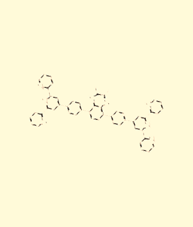 Cc1nc2c(-c3ccc(-c4cc(-c5ccccn5)nc(-c5ccccn5)c4)cc3)ccc(-c3ccc(-c4cc(-c5ccccn5)nc(-c5ccccn5)c4)cc3)c2nc1C